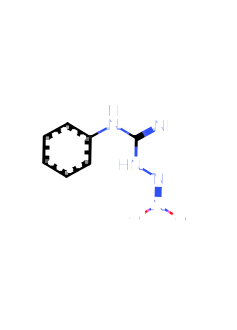 N=C(NN=[N+]([O-])[O-])Nc1ccccc1